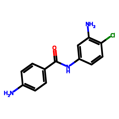 Nc1ccc(C(=O)Nc2ccc(Cl)c(N)c2)cc1